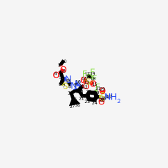 CCOC(=O)c1csc(-n2nc(OS(=O)(=O)C(F)(F)F)c(Cc3ccc(S(N)(=O)=O)c(F)c3)c2CC2CC2)n1